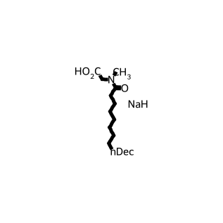 CCCCCCCCCCCCCCCCCC(=O)N(C)CC(=O)O.[NaH]